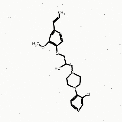 C/C=C/c1ccc(OCC(O)CN2CCN(c3ccccc3Cl)CC2)c(OC)c1